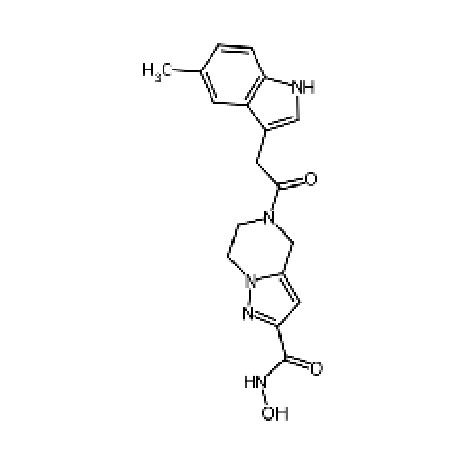 Cc1ccc2[nH]cc(CC(=O)N3CCn4nc(C(=O)NO)cc4C3)c2c1